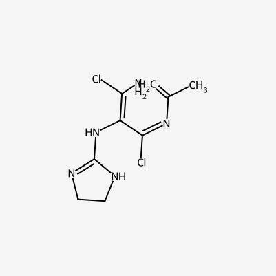 C=C(C)/N=C(Cl)\C(NC1=NCCN1)=C(/N)Cl